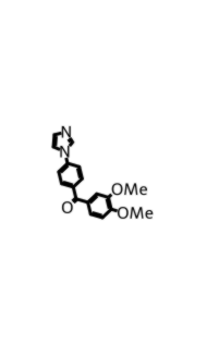 COc1ccc(C(=O)c2ccc(-n3ccnc3)cc2)cc1OC